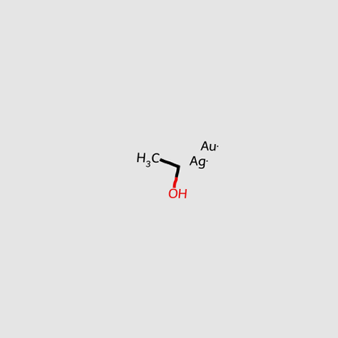 CCO.[Ag].[Au]